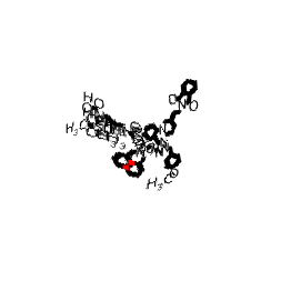 COc1ccc(Cn2nnc(-c3c(N4CCCC(=CCN5C(=O)c6ccccc6C5=O)C4)ccc(S(=O)(=O)NCC(CNC(=O)O)O[Si](C)(C)C(C)(C)C)c3S(=O)(=O)N(Cc3ccccc3)Cc3ccccc3)n2)cc1